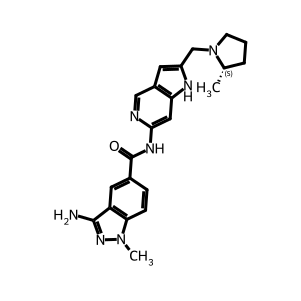 C[C@H]1CCCN1Cc1cc2cnc(NC(=O)c3ccc4c(c3)c(N)nn4C)cc2[nH]1